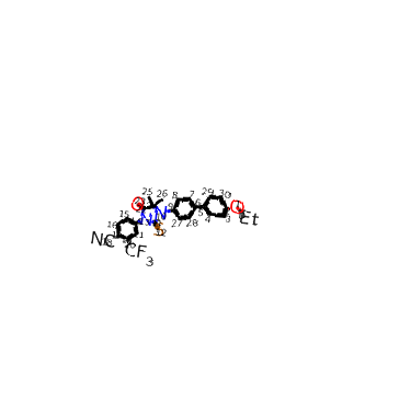 CCOc1ccc(-c2ccc(N3C(=S)N(c4ccc(C#N)c(C(F)(F)F)c4)C(=O)C3(C)C)cc2)cc1